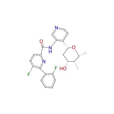 C[C@@H]1[C@H](O)C[C@H](c2ccncc2NC(=O)c2ccc(F)c(-c3ccccc3F)n2)O[C@@H]1C